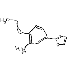 CCOc1ccc(-c2ncco2)cc1N